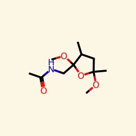 COC1(C)CC(C)C(CNC(C)=O)(OC)O1